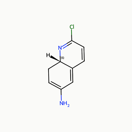 NC1=CC[C@@H]2N=C(Cl)C=CC2=C1